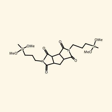 CO[Si](C)(CCCN1C(=O)C2CC3C(=O)N(CCC[Si](C)(OC)OC)C(=O)C3C2C1=O)OC